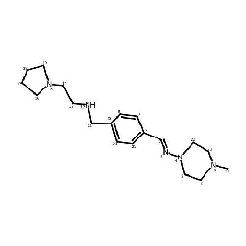 CN1CCN(N=Cc2ccc(CNCCN3CCCC3)cc2)CC1